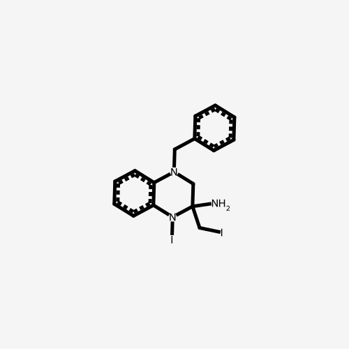 NC1(CI)CN(Cc2ccccc2)c2ccccc2N1I